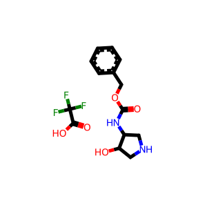 O=C(NC1CNCC1O)OCc1ccccc1.O=C(O)C(F)(F)F